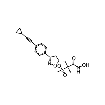 C[C@@](C[C@H]1CC(c2ccc(C#CC3CC3)cc2)=NO1)(C(=O)NO)S(C)(=O)=O